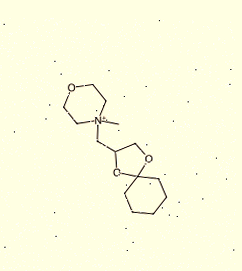 C[N+]1(CC2COC3(CCCCC3)O2)CCOCC1